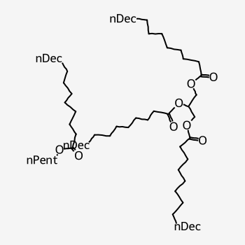 CCCCCCCCCCCCCCCCCC(=O)OCC(COC(=O)CCCCCCCCCCCCCCCCC)OC(=O)CCCCCCCCCCCCCCCCC.CCCCCCCCCCCCCCCCCC(=O)OCCCCC